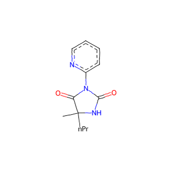 CCCC1(C)NC(=O)N(c2ccccn2)C1=O